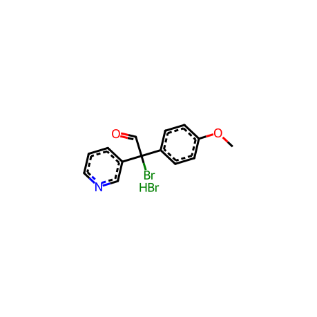 Br.COc1ccc(C(Br)(C=O)c2cccnc2)cc1